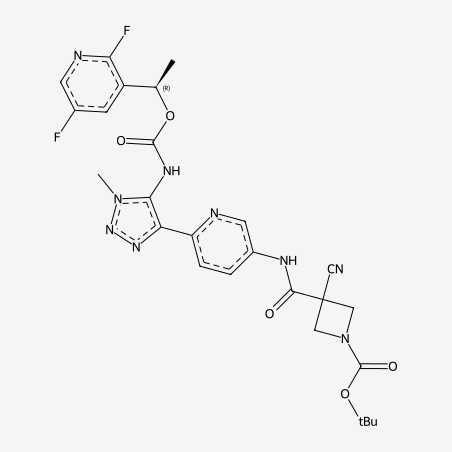 C[C@@H](OC(=O)Nc1c(-c2ccc(NC(=O)C3(C#N)CN(C(=O)OC(C)(C)C)C3)cn2)nnn1C)c1cc(F)cnc1F